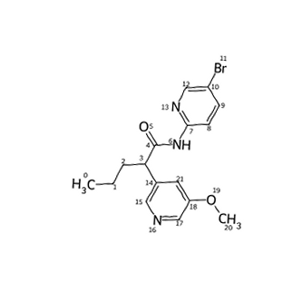 CCCC(C(=O)Nc1ccc(Br)cn1)c1cncc(OC)c1